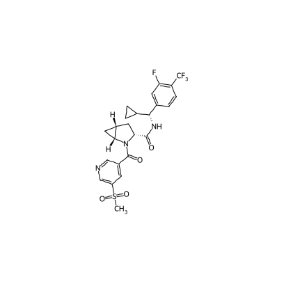 CS(=O)(=O)c1cncc(C(=O)N2[C@@H](C(=O)N[C@@H](c3ccc(C(F)(F)F)c(F)c3)C3CC3)C[C@H]3C[C@H]32)c1